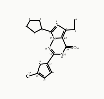 CCc1nc(C2CCCC2)n2nc(-c3ccc(Cl)s3)[nH]c(=O)c12